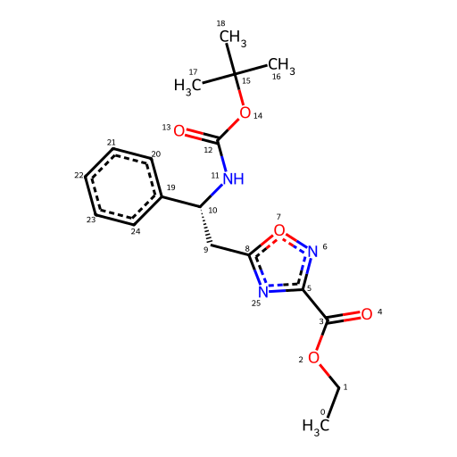 CCOC(=O)c1noc(C[C@@H](NC(=O)OC(C)(C)C)c2ccccc2)n1